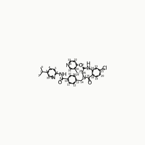 CC(C)c1ccc(NC(=O)c2ccc(CN3C(=O)c4ccc(Cl)cc4NC(=O)[C@H]3Cc3cccnc3)cc2)nc1